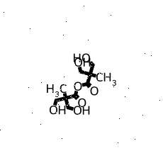 CC(CO)(CO)C(=O)OC(=O)C(C)(CO)CO